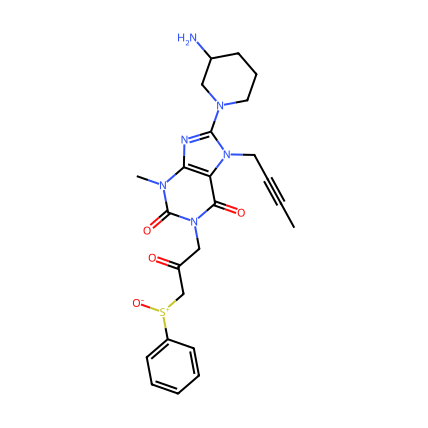 CC#CCn1c(N2CCCC(N)C2)nc2c1c(=O)n(CC(=O)C[S+]([O-])c1ccccc1)c(=O)n2C